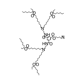 CCCCCCC(CC)OC(=O)CCCCCCCCN(CCCCCCCCC(=O)OC(CC)CCCCCC)CCCNC(=O)c1cc(C(=O)NCCCN(CCCCCCCCC(=O)OC(CC)CCCCCC)CCCCCCCCC(=O)OC(CC)CCCCCC)cc(C(=O)OCCCCN(C)C)c1